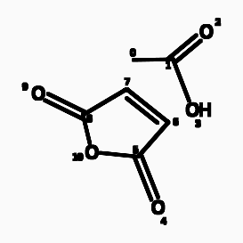 CC(=O)O.O=C1C=CC(=O)O1